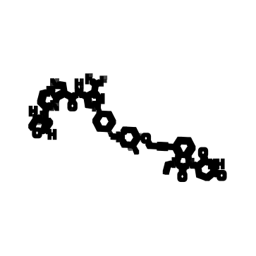 CCn1c(=O)n(C2CCC(=O)NC2=O)c2cccc(C#CCO[C@H]3CCN(C[C@H]4CC[C@H](n5cc(NC(=O)c6cnn7ccc(N8C[C@H]9C[C@@H]8CO9)nc67)c(C(F)F)n5)CC4)C[C@@H]3C)c21